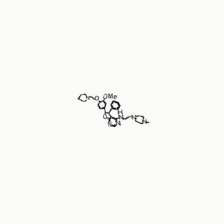 COc1cc(C2Oc3ncnc(NCCN4CCN(C)CC4)c3C2c2ccccc2)ccc1OCCN1CCCCC1